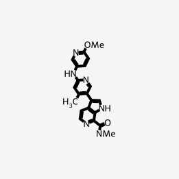 CNC(=O)c1nccc2c(-c3cnc(Nc4ccc(OC)nc4)cc3C)c[nH]c12